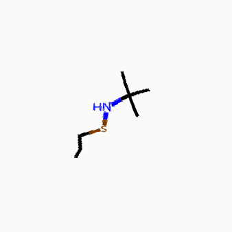 CCSNC(C)(C)C